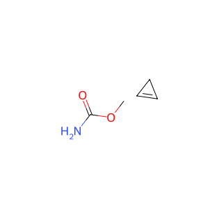 C1=CC1.COC(N)=O